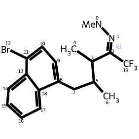 CN/N=C(\C(C)C(C)Cc1ccc(Br)c2ccccc12)C(F)(F)F